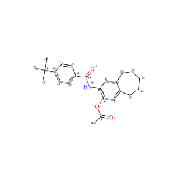 CC(=O)Oc1cc2c(cc1NC(=O)c1ccc(C(C)(C)C)cc1)CCCCC2